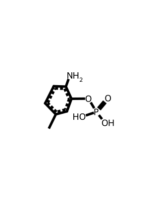 Cc1ccc(N)c(OP(=O)(O)O)c1